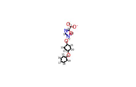 O=C([O-])c1nc[n+](COc2ccc(Oc3ccccc3)cc2)o1